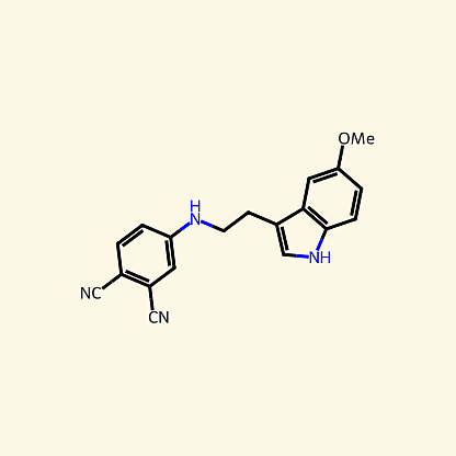 COc1ccc2[nH]cc(CCNc3ccc(C#N)c(C#N)c3)c2c1